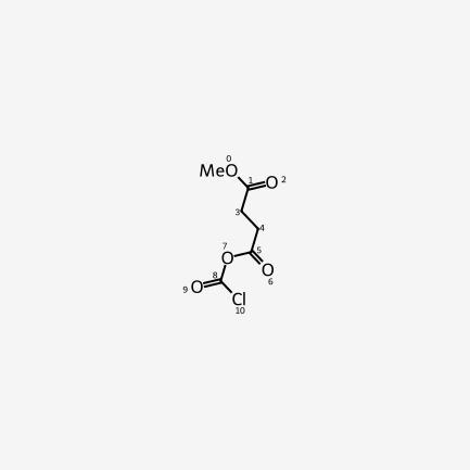 COC(=O)CCC(=O)OC(=O)Cl